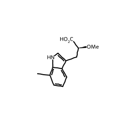 CO[C@@H](Cc1c[nH]c2c(C)cccc12)C(=O)O